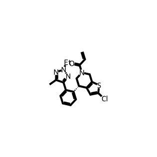 C=CC(=O)N1Cc2sc(Cl)cc2[C@H](c2ccccc2-c2nn(CC)nc2C)C1